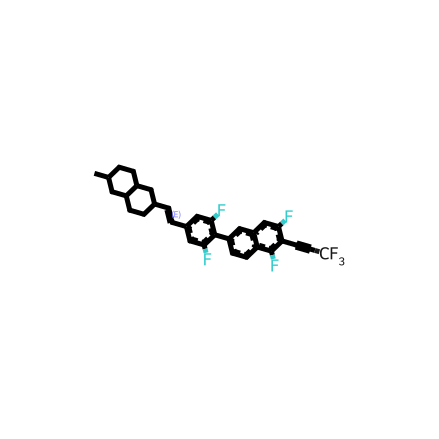 CC1CCC2CC(/C=C/c3cc(F)c(-c4ccc5c(F)c(C#CC(F)(F)F)c(F)cc5c4)c(F)c3)CCC2C1